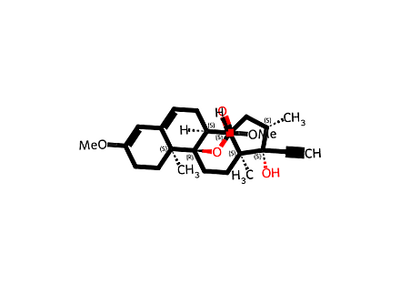 C#C[C@]1(O)[C@@H](C)C[C@H]2[C@@H]3CC=C4C=C(OC)CC[C@]4(C)[C@@]3(OC(=O)OC)CC[C@@]21C